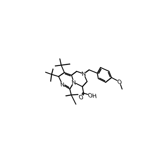 COc1ccc(CN2CC3=C(C(C)(C)C)C(C(C)(C)C)N=C(C(C)(C)C)N3C(C(=O)O)C2)cc1